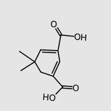 CC1(C)C=C(C(=O)O)C=C(C(=O)O)C1